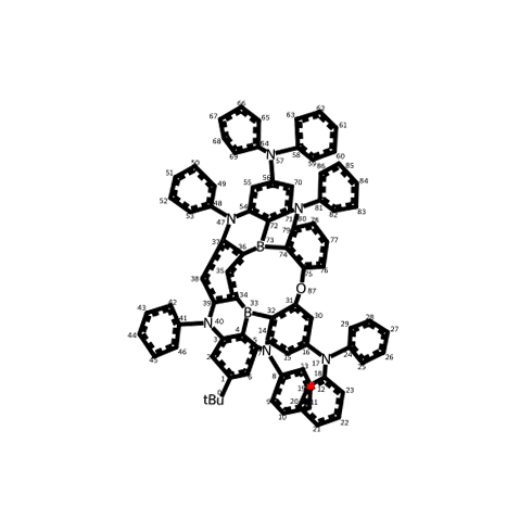 CC(C)(C)c1cc2c3c(c1)N(c1ccccc1)c1cc(N(c4ccccc4)c4ccccc4)cc4c1B3c1cc3c(cc1N2c1ccccc1)N(c1ccccc1)c1cc(N(c2ccccc2)c2ccccc2)cc2c1B3c1c(cccc1N2c1ccccc1)O4